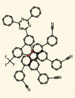 N#Cc1cccc(-c2ccc3c(c2)c2cc(-c4cccc(C#N)c4)ccc2n3-c2ccc(-c3nc(-c4ccccc4)nc(-c4ccccc4)n3)cc2-c2ccc(C(F)(F)F)cc2-n2c3ccc(-c4cccc(C#N)c4)cc3c3cc(-c4cccc(C#N)c4)ccc32)c1